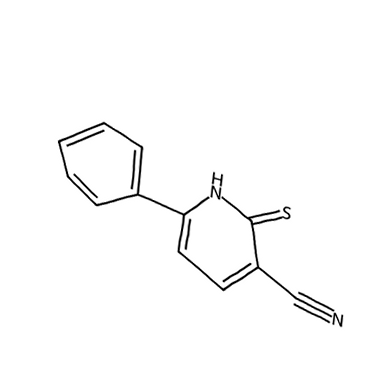 N#Cc1ccc(-c2ccccc2)[nH]c1=S